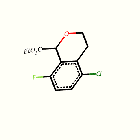 CCOC(=O)C1OCCc2c(Cl)ccc(F)c21